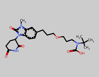 Cn1c(=O)n(C2CCC(=O)NC2=O)c2ccc(CCCOCCCN(C(=O)O)C(C)(C)C)cc21